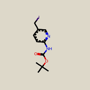 CC(C)(C)OC(=O)Nc1ccc(CI)cn1